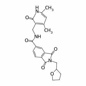 Cc1cc(C)c(CNC(=O)c2ccc3c(c2)C(=O)N(CC2CCCO2)C3=O)c(=O)[nH]1